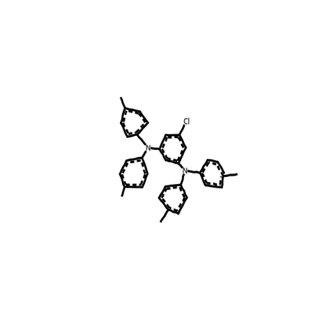 Cc1ccc(N(c2ccc(C)cc2)c2cc(Cl)cc(N(c3ccc(C)cc3)c3ccc(C)cc3)c2)cc1